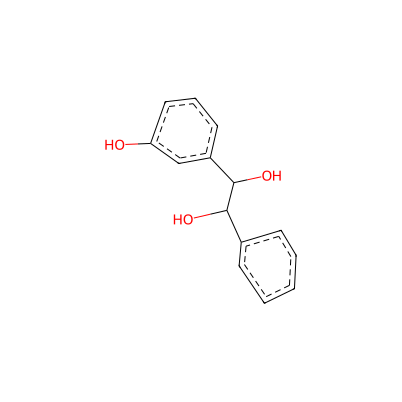 Oc1cccc(C(O)C(O)c2ccccc2)c1